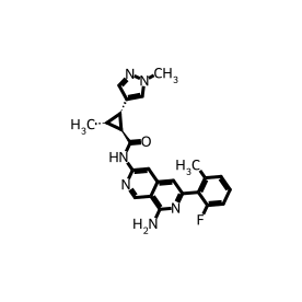 Cc1cccc(F)c1-c1cc2cc(NC(=O)[C@H]3[C@H](C)[C@@H]3c3cnn(C)c3)ncc2c(N)n1